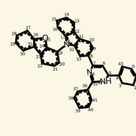 C1=CCCC(C2C=C(c3ccc4c5ccccc5n(-c5cccc6c5oc5ccccc56)c4c3)N=C(c3ccccc3)N2)=C1